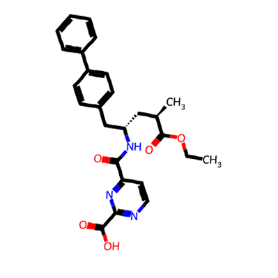 CCOC(=O)[C@H](C)C[C@@H](Cc1ccc(-c2ccccc2)cc1)NC(=O)c1ccnc(C(=O)O)n1